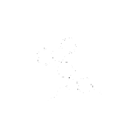 CCOC(=O)C1(c2ccc(Cl)cc2)OCC2(CO1)c1ccccc1-c1ccccc12